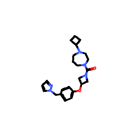 O=C(N1CCCN(C2CCC2)CC1)N1CC(Oc2ccc(Cn3cccn3)cc2)C1